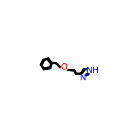 c1ccc(CCOCCCc2c[nH]cn2)cc1